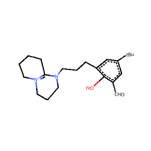 CC(C)(C)c1cc(C=O)c(O)c(CCCN2CCC[N+]3=C2CCCC3)c1